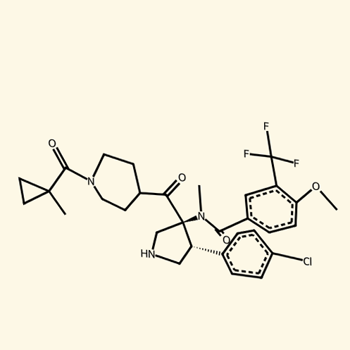 COc1ccc(C(=O)N(C)[C@]2(C(=O)C3CCN(C(=O)C4(C)CC4)CC3)CNC[C@H]2c2ccc(Cl)cc2)cc1C(F)(F)F